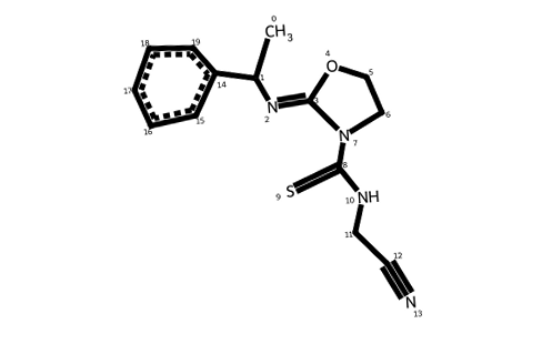 CC(N=C1OCCN1C(=S)NCC#N)c1ccccc1